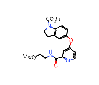 COCCNC(=O)c1cc(Oc2ccc3c(c2)CCN3C(=O)O)ccn1